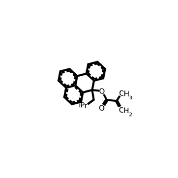 C=C(C)C(=O)OC1(CC(C)C)c2ccccc2-c2cccc3cccc1c23